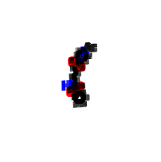 CC(=O)N1CCN(S(=O)(=O)CCCCNS(=O)(=O)c2ccccc2)CC1